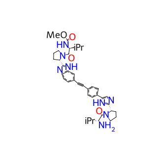 COC(=O)N[C@H](C(=O)N1CCC[C@H]1c1nc2ccc(C#Cc3ccc(-c4cnc([C@@H]5CCCN5C(=O)[C@H](N)C(C)C)[nH]4)cc3)cc2[nH]1)C(C)C